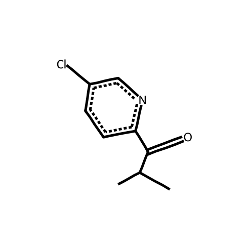 CC(C)C(=O)c1ccc(Cl)cn1